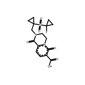 O=C(O)c1ccc2n(c1=O)CCN(CC1(S(=O)(=O)C3(F)CC3)CC1)C2=O